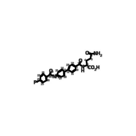 NC(=O)CC[C@H](NC(=O)c1ccc(-c2ccc(NC(=O)c3ccc(F)cc3)cc2)cc1)C(=O)O